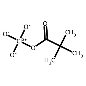 CC(C)(C)C(=O)O[Cl+3]([O-])([O-])[O-]